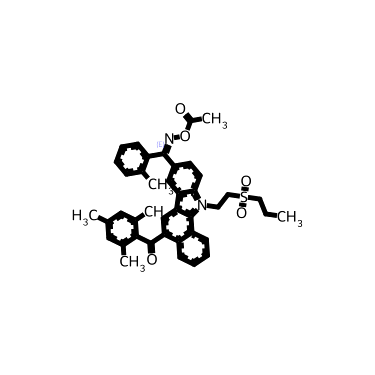 CCCS(=O)(=O)CCn1c2ccc(/C(=N\OC(C)=O)c3ccccc3C)cc2c2cc(C(=O)c3c(C)cc(C)cc3C)c3ccccc3c21